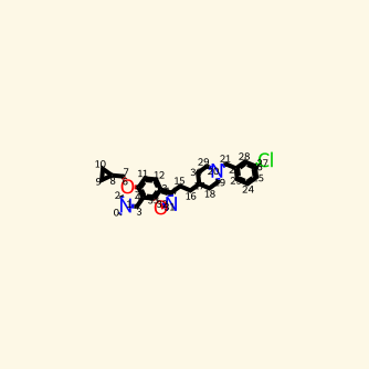 CN(C)Cc1c(OCC2CC2)ccc2c(CCC3CCN(Cc4cccc(Cl)c4)CC3)noc12